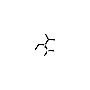 CC[SiH](C(C)C)N(C)C